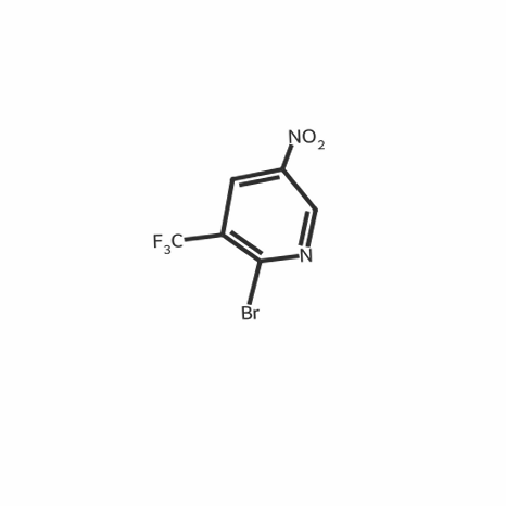 O=[N+]([O-])c1cnc(Br)c(C(F)(F)F)c1